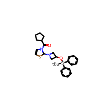 CC(C)(C)[Si](OC1CN(C2SC=CN2C(=O)C2CCCC2)C1)(c1ccccc1)c1ccccc1